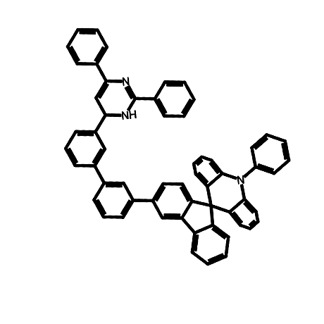 C1=C(c2ccccc2)N=C(c2ccccc2)NC1c1cccc(-c2cccc(-c3ccc4c(c3)-c3ccccc3C43c4ccccc4N(c4ccccc4)c4ccccc43)c2)c1